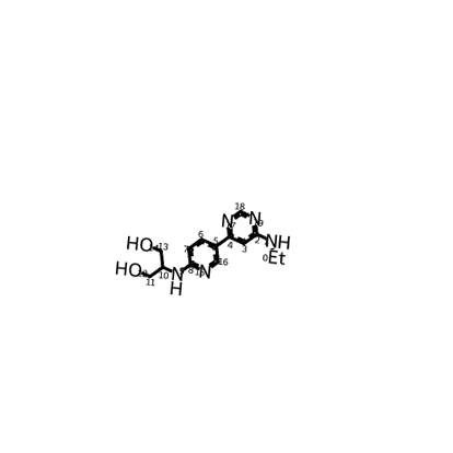 CCNc1cc(-c2ccc(NC(CO)CO)nc2)ncn1